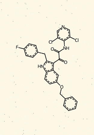 O=C(Nc1c(Cl)cncc1Cl)C(=O)c1c(Cc2ccc(F)cc2)[nH]c2ccc(OCc3ccccc3)cc12